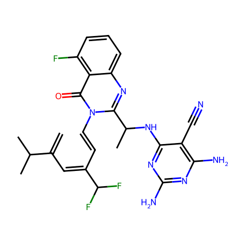 C=C(/C=C(\C=C\n1c(C(C)Nc2nc(N)nc(N)c2C#N)nc2cccc(F)c2c1=O)C(F)F)C(C)C